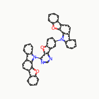 c1ccc2c(c1)oc1c2ccc2c3ccccc3n(-c3ccc4oc5c(-n6c7ccccc7c7ccc8c9ccccc9oc8c76)ncnc5c4c3)c21